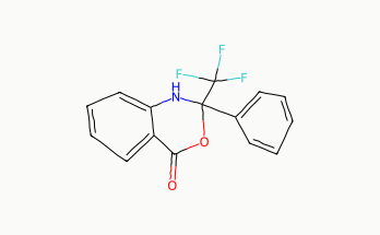 O=C1OC(c2ccccc2)(C(F)(F)F)Nc2ccccc21